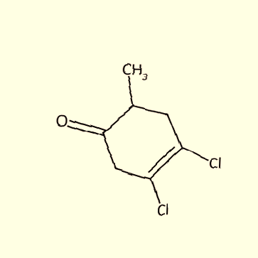 CC1CC(Cl)=C(Cl)CC1=O